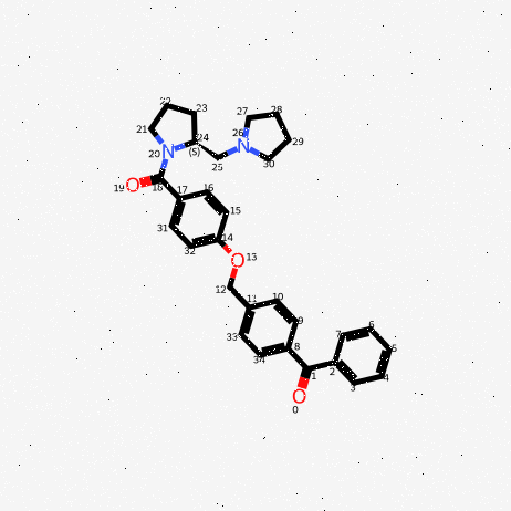 O=C(c1ccccc1)c1ccc(COc2ccc(C(=O)N3CCC[C@H]3CN3CCCC3)cc2)cc1